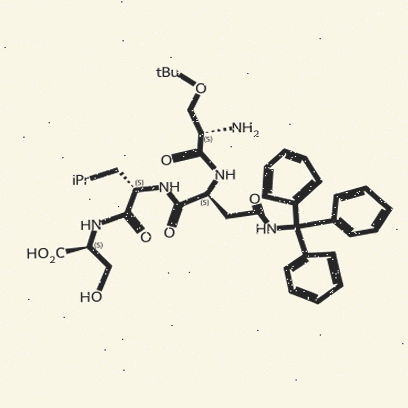 CC(C)C[C@H](NC(=O)[C@H](CC(=O)NC(c1ccccc1)(c1ccccc1)c1ccccc1)NC(=O)[C@@H](N)COC(C)(C)C)C(=O)N[C@@H](CO)C(=O)O